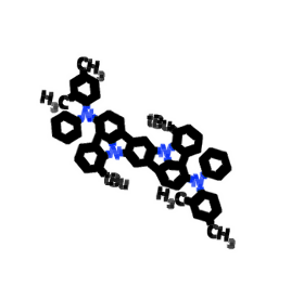 Cc1ccc(N(c2ccccc2)c2ccc3c4cc5c(cc4n4c6c(C(C)(C)C)cccc6c2c34)c2ccc(N(c3ccccc3)c3ccc(C)cc3C)c3c4cccc(C(C)(C)C)c4n5c23)c(C)c1